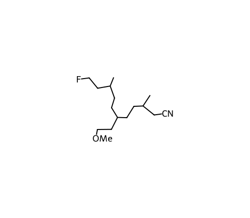 COCCC(CCC(C)CC#N)CCC(C)CCF